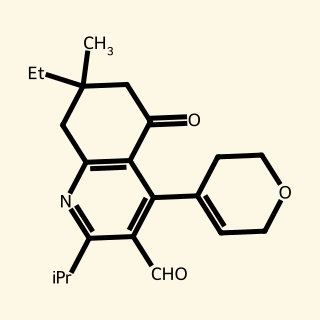 CCC1(C)CC(=O)c2c(nc(C(C)C)c(C=O)c2C2=CCOCC2)C1